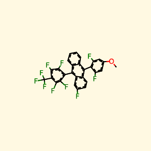 COc1cc(F)c(-c2c3ccccc3c(-c3c(F)c(F)c(C(F)(F)F)c(F)c3F)c3cc(F)ccc23)c(F)c1